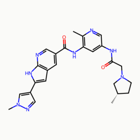 Cc1ncc(NC(=O)CN2CC[C@H](C)C2)cc1NC(=O)c1cnc2[nH]c(-c3cnn(C)c3)cc2c1